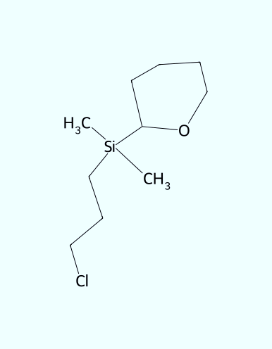 C[Si](C)(CCCCl)C1CCCCO1